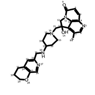 O=c1ccc2ncc(F)c3c2n1CC3(O)CN1CCC(NCc2cc3c(cn2)OCCC3)CC1